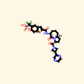 O=C(N[C@H]1CCC[C@H]2CC[C@@H](C(=O)N3CC(c4cnccn4)C3)N2C1=O)c1cc2cc(C(F)(F)P(=O)(O)O)ccc2s1